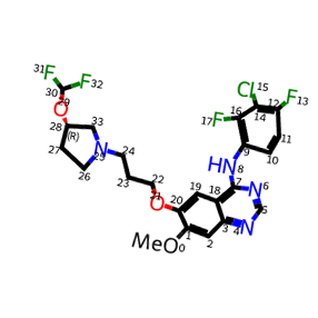 COc1cc2ncnc(Nc3ccc(F)c(Cl)c3F)c2cc1OCCCN1CC[C@@H](OC(F)F)C1